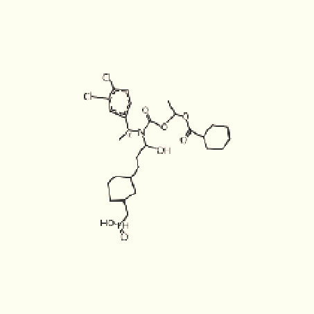 CC(OC(=O)C1CCCCC1)OC(=O)N(C(O)CCC1CCCC(C[PH](=O)O)C1)[C@@H](C)c1ccc(Cl)c(Cl)c1